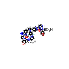 O=C(O)N[C@H](C(=O)N1CCC[C@H]1c1nc2cc([C@H]3CC[C@H](c4ccc5[nH]c([C@@H]6CCCN6C(=O)[C@@H](NC(=O)O)C6CCOCC6)nc5c4)N3c3cc(F)c(N4CCCCC4)c(F)c3)ccc2[nH]1)C1CCOCC1